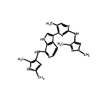 Cc1cc(Nc2nccc3c(-c4nc(Nc5cn(C)nc5C)ncc4C)c[nH]c23)c(C)[nH]1